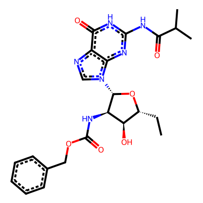 CC[C@H]1O[C@@H](n2cnc3c(=O)[nH]c(NC(=O)C(C)C)nc32)[C@H](NC(=O)OCc2ccccc2)[C@@H]1O